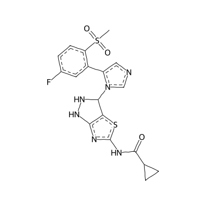 CS(=O)(=O)c1ccc(F)cc1-c1cncn1C1NNc2nc(NC(=O)C3CC3)sc21